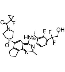 Cc1nc(N[C@H](C)c2cccc(C(F)(F)CO)c2F)c2cc(P3(=O)CCN(C(=O)C4(F)CC4)CC3)c3c(c2n1)CCC3